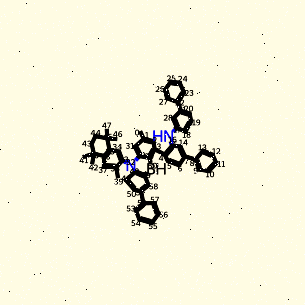 Cc1cc(-c2ccc(-c3ccccc3)cc2Nc2cccc(-c3ccccc3)c2)c2c(c1)N(c1cc3c(cc1C)C(C)(C)CCC3(C)C)c1ccc(-c3ccccc3)cc1B2